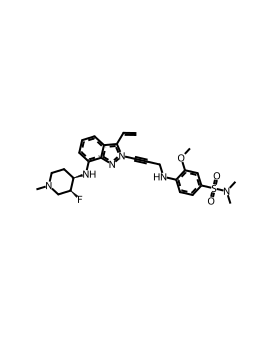 C=Cc1c2cccc(N[C@@H]3CCN(C)C[C@@H]3F)c2nn1C#CCNc1ccc(S(=O)(=O)N(C)C)cc1OC